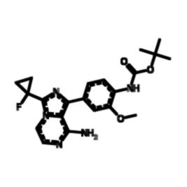 COc1cc(-c2nc(C3(F)CC3)n3ccnc(N)c23)ccc1NC(=O)OC(C)(C)C